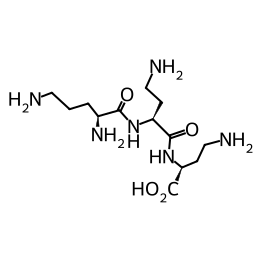 NCCC[C@H](N)C(=O)N[C@@H](CCN)C(=O)N[C@@H](CCN)C(=O)O